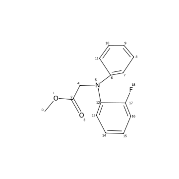 COC(=O)CN(c1ccccc1)c1ccccc1F